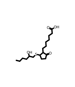 CCCCC(O)CSC1CCC(=O)C1CCCCCCC(=O)O